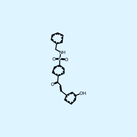 O=C(/C=C/c1cccc(O)c1)c1ccc(S(=O)(=O)NCc2ccccc2)cc1